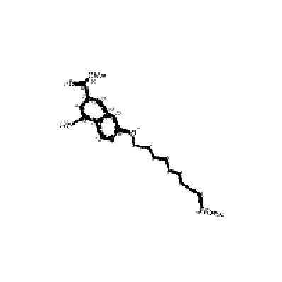 CCCCCCCCCCCCCCCCCCOc1ccc2c(O)cc(C(=O)OC)[c]c2c1